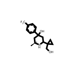 C[C@H]1CC(O)(c2ccc(C(F)(F)F)cc2)CC(C2(CO)CC2)N1